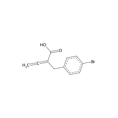 C=C=C(Cc1ccc(Br)cc1)C(=O)O